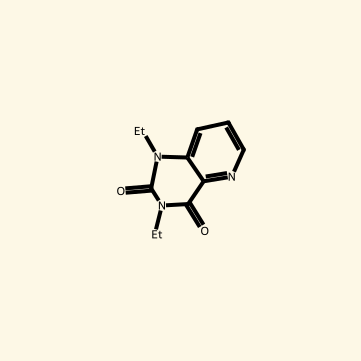 CCn1c(=O)c2ncccc2n(CC)c1=O